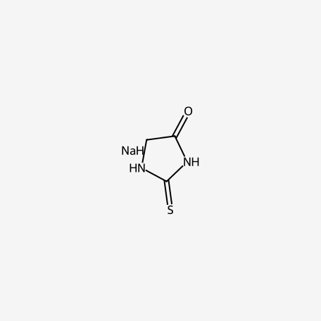 O=C1CNC(=S)N1.[NaH]